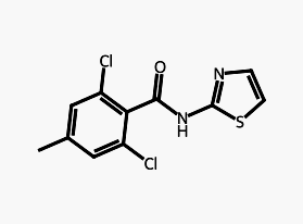 Cc1cc(Cl)c(C(=O)Nc2nccs2)c(Cl)c1